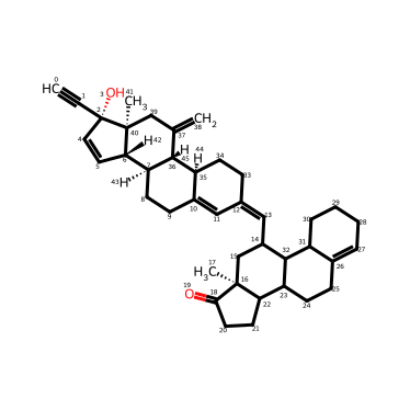 C#C[C@]1(O)C=C[C@H]2[C@@H]3CCC4=CC(=CC5C[C@]6(C)C(=O)CCC6C6CCC7=CCCCC7C56)CC[C@@H]4[C@H]3C(=C)C[C@@]21C